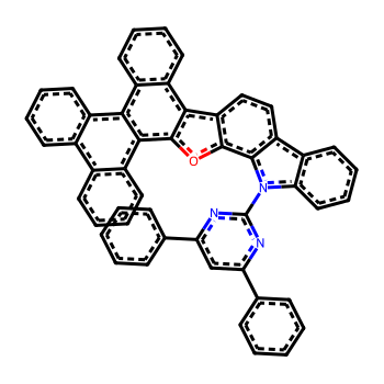 c1ccc(-c2cc(-c3ccccc3)nc(-n3c4ccccc4c4ccc5c(oc6c5c5ccccc5c5c7ccccc7c7ccccc7c65)c43)n2)cc1